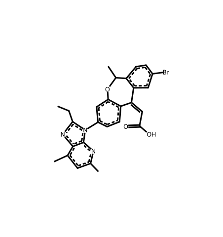 CCc1nc2c(C)cc(C)nc2n1-c1ccc2c(c1)OC(C)c1ccc(Br)cc1C2=CC(=O)O